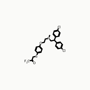 CN(CCOc1ccc(SCC(=O)C(F)(F)F)cc1)CC(c1ccc(Cl)cc1)c1ccc(Cl)cc1